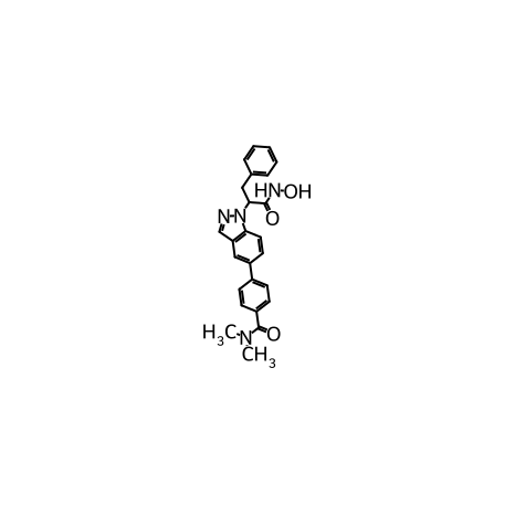 CN(C)C(=O)c1ccc(-c2ccc3c(cnn3C(Cc3ccccc3)C(=O)NO)c2)cc1